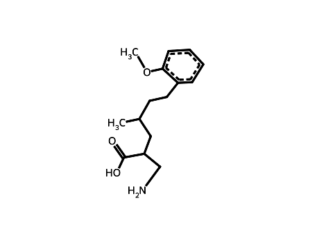 COc1ccccc1CCC(C)CC(CN)C(=O)O